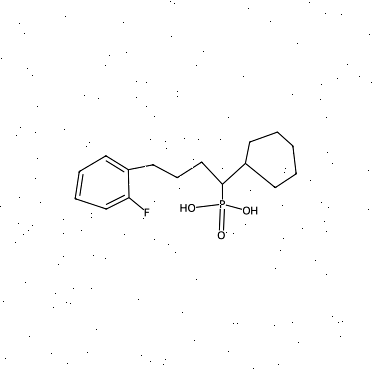 O=P(O)(O)C(CCCc1ccccc1F)C1CCCCC1